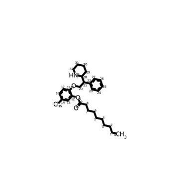 CCCCCCCCCC(=O)Oc1cc(Cl)ccc1OCC(c1ccccc1)C1CCCCN1